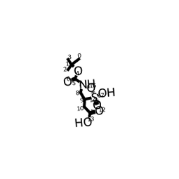 CC(C)(C)OC(=O)NCC(CC(=O)O)S(=O)(=O)O